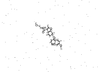 COCCNC(=O)c1c(C)oc2cc(Oc3ccnc4cc(OC)ccc34)ccc12